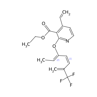 C=Cc1ccnc(OC(/C=C\C(=C)C(F)(F)F)=C\C)c1C(=O)OCC